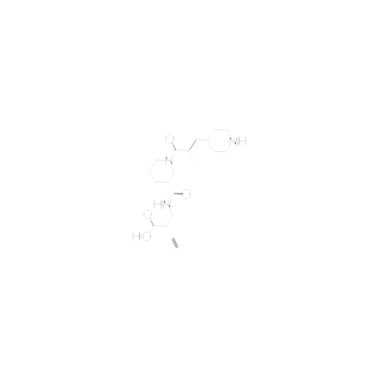 C#C[C@@H](CNC(=O)[C@@H]1CCCN(C(=O)/C(C)=C/C2CCNCC2)C1)C(=O)O